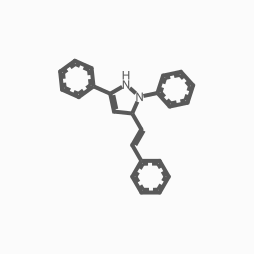 C(=CC1C=C(c2ccccc2)NN1c1ccccc1)c1ccccc1